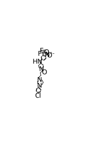 O=C(CCCN1CCCN(c2ccc(Cl)cc2)CC1)N1CCC(Nc2ccc([N+](=O)[O-])c(C(F)(F)F)c2)CC1